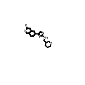 Fc1cc2cc(-c3cnc(NCC4CCCOC4)s3)ccc2cn1